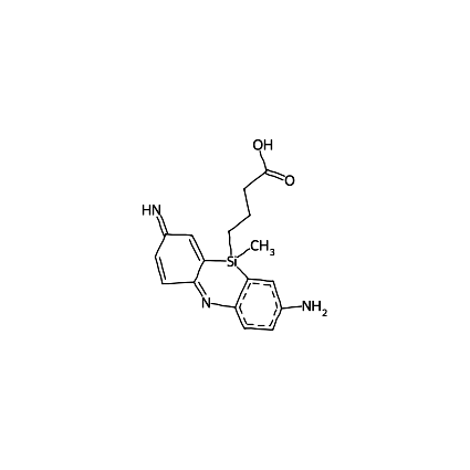 C[Si]1(CCCC(=O)O)C2=CC(=N)C=CC2=Nc2ccc(N)cc21